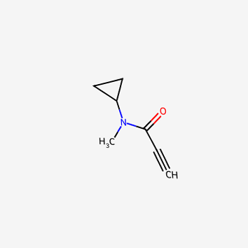 C#CC(=O)N(C)C1CC1